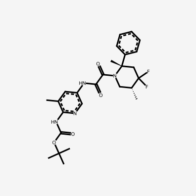 Cc1cc(NC(=O)C(=O)N2C[C@@H](C)C(F)(F)C[C@@]2(C)c2ccccc2)cnc1NC(=O)OC(C)(C)C